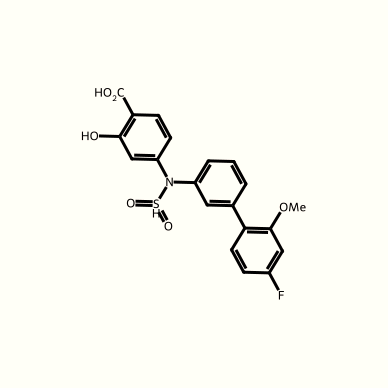 COc1cc(F)ccc1-c1cccc(N(c2ccc(C(=O)O)c(O)c2)[SH](=O)=O)c1